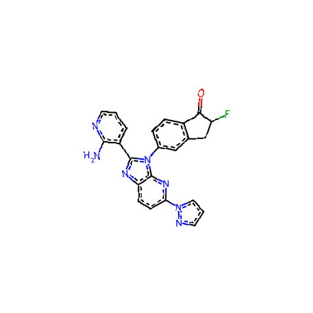 Nc1ncccc1-c1nc2ccc(-n3cccn3)nc2n1-c1ccc2c(c1)CC(F)C2=O